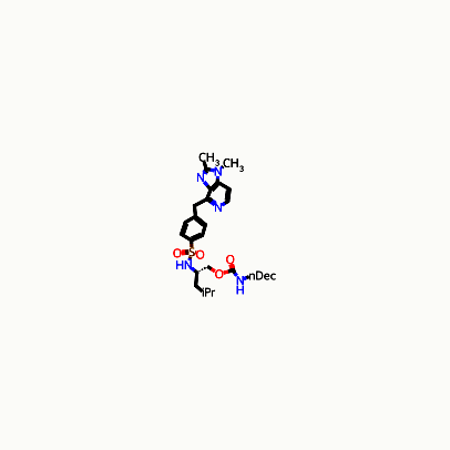 CCCCCCCCCCNC(=O)OC[C@H](CC(C)C)NS(=O)(=O)c1ccc(Cc2nccc3c2nc(C)n3C)cc1